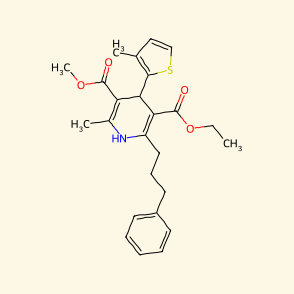 CCOC(=O)C1=C(CCCc2ccccc2)NC(C)=C(C(=O)OC)C1c1sccc1C